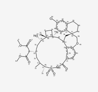 COC(=O)C(C(=O)OC)[C@H]1CC(C)[C@@H](C)S(=O)(=O)NC(=O)c2ccc3c(c2)N(C[C@@H]2CC[C@H]2[C@@H](O)C1)C[C@@]1(CCCc2cc(Cl)ccc21)CO3